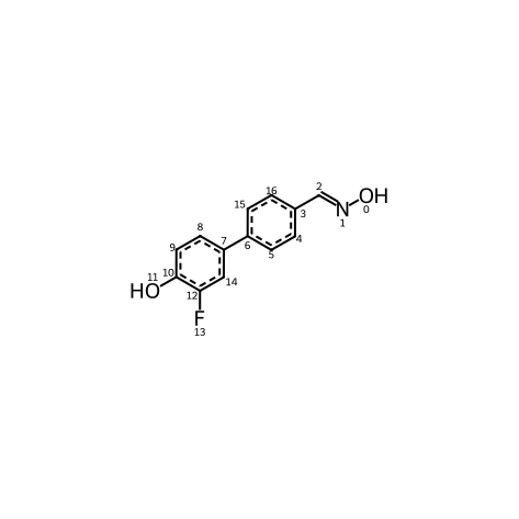 O/N=C/c1ccc(-c2ccc(O)c(F)c2)cc1